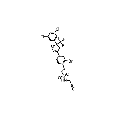 C#CCNS(=O)(=O)CSc1ccc(C2=NOC(c3cc(Cl)cc(Cl)c3)(C(F)(F)F)C2)cc1Br